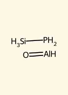 [O]=[AlH].[SiH3]P